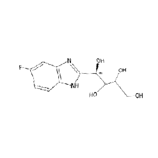 OCC(O)C(O)[C@H](O)c1nc2cc(F)ccc2[nH]1